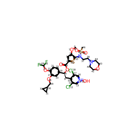 COc1cc(C(=O)O[C@@H](Cc2c(Cl)c[n+](O)cc2Cl)c2ccc(OC(F)F)c(OCC3CC3)c2)sc1N(CCN1CCOCC1)S(C)(=O)=O